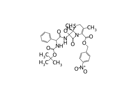 COC1(NC(=O)C(NC(=O)OC(C)(C)C)c2ccccc2)C(=O)N2C(C(=O)OCc3ccc([N+](=O)[O-])cc3)=C(C)CS[C@H]21